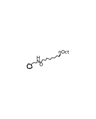 CCCCCCCC/C=C\CCCCCCCC(=O)NCCc1ccccc1